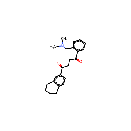 CN(C)Cc1ccccc1C(=O)CCC(=O)c1ccc2c(c1)CCCC2